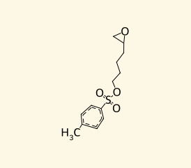 Cc1ccc(S(=O)(=O)OCCCCC2CO2)cc1